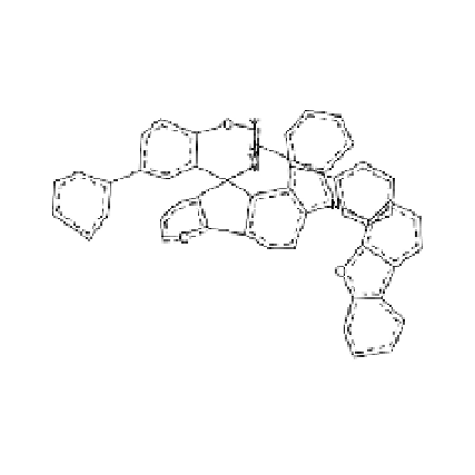 c1ccc(-c2ccc3c(c2)C2(c4cc(-c5ccccc5)ccc4O3)c3ccccc3-c3ccc4c(c32)c2ccccc2n4-c2cccc3c2oc2ccccc23)cc1